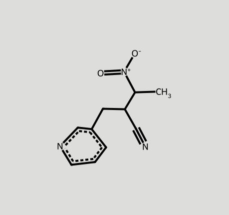 CC(C(C#N)Cc1cccnc1)[N+](=O)[O-]